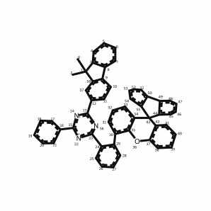 CC1(C)c2ccccc2-c2ccc(-c3nc(-c4ccccc4)nc(-c4ccccc4-c4cccc5c4Oc4ccccc4C54c5ccccc5-c5ccccc54)n3)cc21